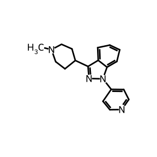 CN1CCC(c2nn(-c3ccncc3)c3ccccc23)CC1